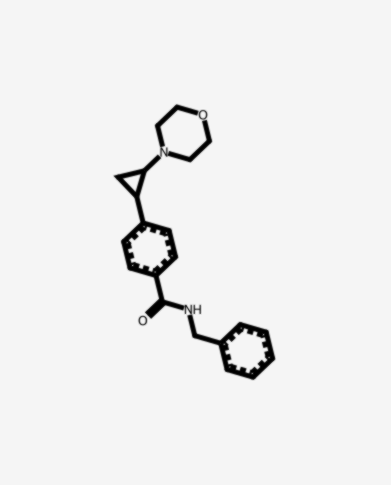 O=C(NCc1ccccc1)c1ccc(C2CC2N2CCOCC2)cc1